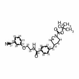 CC(C)(C)OC(=O)N1CCC(Cc2ccc(C(=O)NCCOc3cccc(C#N)c3)cc2)CC1